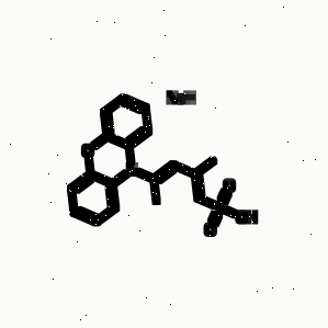 CC(=CS(=O)(=O)O)C=C(C)N1c2ccccc2Oc2ccccc21.[NaH]